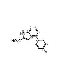 Cc1ccc(-c2cccc3[nH]c(C(=O)O)cc23)cc1